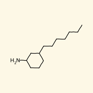 CCCCCCCC1CCCC(N)C1